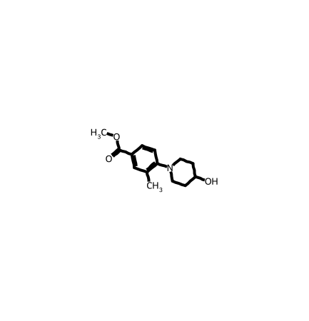 COC(=O)c1ccc(N2CCC(O)CC2)c(C)c1